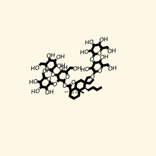 CCCC[C@@H]1C(CC)(COC2OC(CO)C(O)C(OC3OC(CO)C(O)C(O)C3O)C2O)CCC2[C@](C)(C(=O)OC3OC(CO)C(O)C(OC4OC(CO)C(O)C(O)C4O)C3OC3OC(CO)C(O)C(O)C3O)CCC[C@]21C